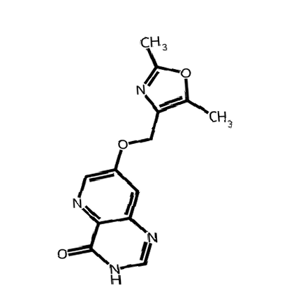 Cc1nc(COc2cnc3c(=O)[nH]cnc3c2)c(C)o1